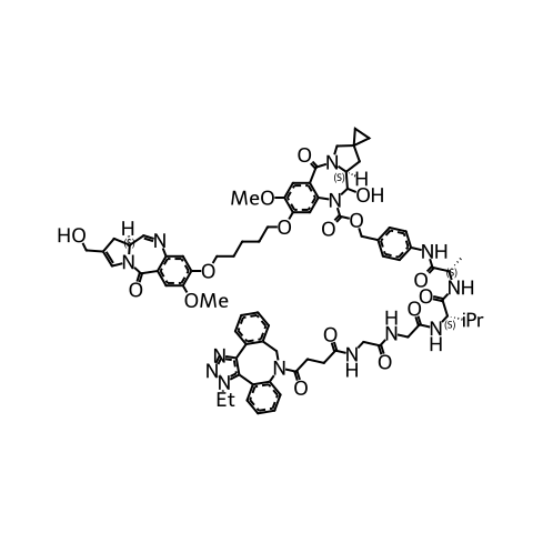 CCn1nnc2c1-c1ccccc1N(C(=O)CCC(=O)NCC(=O)NCC(=O)N[C@H](C(=O)N[C@@H](C)C(=O)Nc1ccc(COC(=O)N3c4cc(OCCCCCOc5cc6c(cc5OC)C(=O)N5C=C(CO)C[C@H]5C=N6)c(OC)cc4C(=O)N4CC5(CC5)C[C@H]4C3O)cc1)C(C)C)Cc1ccccc1-2